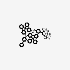 CC(C)CC(c1ccc(COc2ccc(C3(c4ccccc4)c4ccccc4-c4ccc(N(c5ccc(-c6ccccc6)cc5)c5ccc6c(c5)C(c5ccccc5)(c5ccccc5)c5ccccc5-6)cc43)cc2)cc1)C(C)C